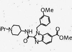 COC(=O)c1ccc2nc(C(=O)NC3CCN(C(C)C)CC3)n(Cc3cccc(OC)c3)c2c1